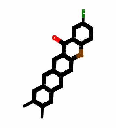 Cc1cc2cc3cc4sc5ccc(F)cc5c(=O)c4cc3cc2cc1C